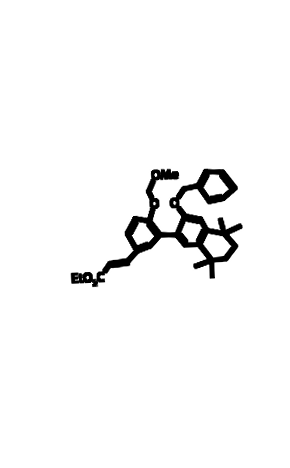 CCOC(=O)/C=C/c1ccc(OCOC)c(-c2cc3c(cc2OCc2ccccc2)C(C)(C)CCC3(C)C)c1